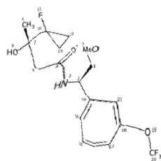 COC[C@H](NC(=O)C[C@](C)(O)C1(F)CC1)c1cccc(OC(F)(F)F)c1